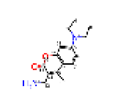 CCN(CC)c1ccc2c(C)c(CN)c(=O)oc2c1